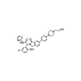 O=C(Nc1nccs1)C(c1cc(F)ccc1O)N1Cc2ccc(-c3ccc(N4CCN(CCO)CC4)cc3)cc2C1=O